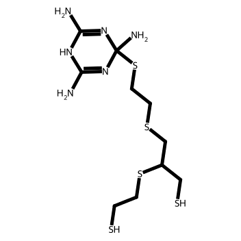 NC1=NC(N)(SCCSCC(CS)SCCS)N=C(N)N1